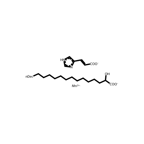 CCCCCCCCCCCCCCCCCCCCCCC(O)C(=O)[O-].O=C([O-])C=Cc1c[nH]cn1.[Mn+2]